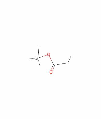 [CH2]CC(=O)O[Si](C)(C)C